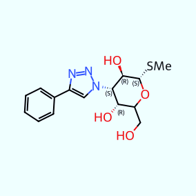 CS[C@@H]1OC(CO)[C@H](O)[C@H](n2cc(-c3ccccc3)nn2)[C@H]1O